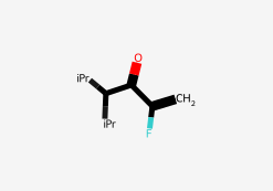 C=C(F)C(=O)C(C(C)C)C(C)C